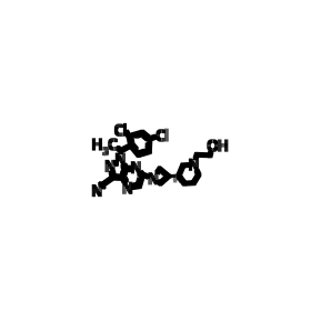 CC(c1ccc(Cl)cc1Cl)n1nc(C#N)c2ncc(N3CC([C@H]4CCCN(CCO)C4)C3)nc21